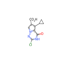 O=C(O)c1cn2nc(Cl)[nH]c(=O)c2c1C1CC1